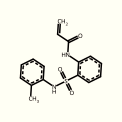 C=CC(=O)Nc1ccccc1S(=O)(=O)Nc1ccccc1C